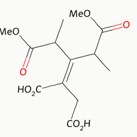 COC(=O)C(C)C(=C(CC(=O)O)C(=O)O)C(C)C(=O)OC